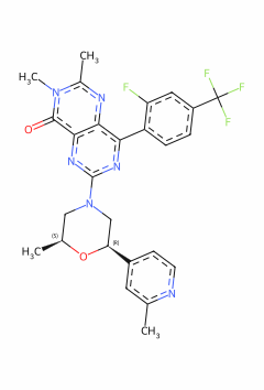 Cc1cc([C@@H]2CN(c3nc(-c4ccc(C(F)(F)F)cc4F)c4nc(C)n(C)c(=O)c4n3)C[C@H](C)O2)ccn1